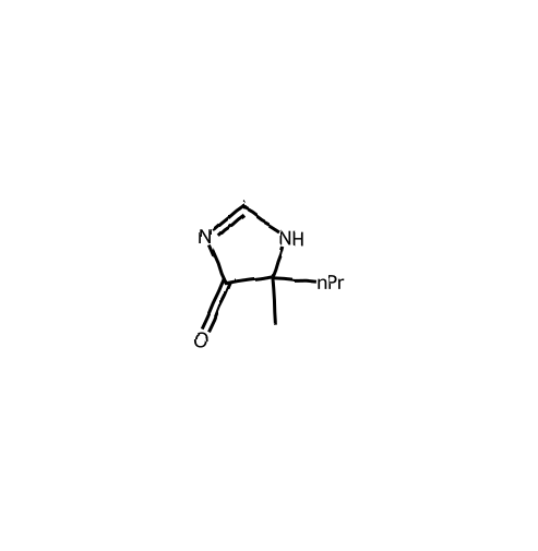 CCCC1(C)N[C]=NC1=O